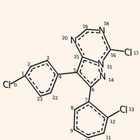 Clc1ccc(-c2c(-c3ccccc3Cl)nn3c(Cl)ncnc23)cc1